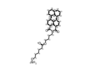 NOCCCCCC(=O)OCCCCN1C(=O)c2ccc3c4cccc5cccc(c6ccc(c2c36)C1=O)c54